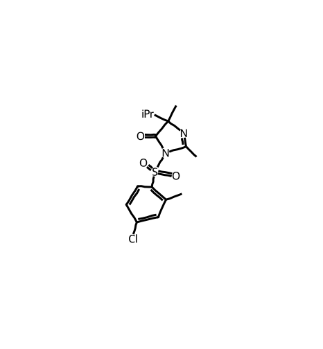 CC1=NC(C)(C(C)C)C(=O)N1S(=O)(=O)c1ccc(Cl)cc1C